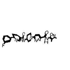 Cc1noc(NC(=O)c2ccc(N3CCC(NC(=O)c4ccc(-c5cccc(F)c5)nc4)CC3)nn2)c1C